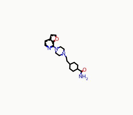 NC(=O)C1CCC(CCN2CCN(c3nccc4ccoc34)CC2)CC1